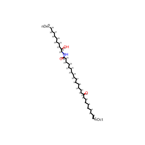 CCCCCCCCC=CCCCCCCCC(=O)CCCCCCCCCCCCCCC(=O)NCC(O)CCCCCCCCCCCCCCCCCC